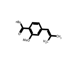 CCCCC(=O)c1ccc(C=C(C)C)cc1OC